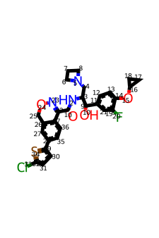 O=C(NC(CN1CCC1)C(O)c1ccc(OC2CC2)c(F)c1)C1=NOCc2cc(-c3ccc(Cl)s3)ccc21